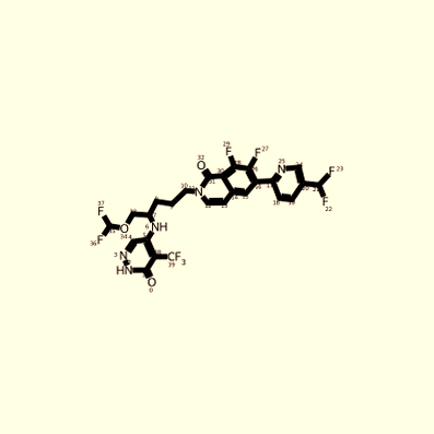 O=c1[nH]ncc(NC(CCCn2ccc3cc(-c4ccc(C(F)F)cn4)c(F)c(F)c3c2=O)COC(F)F)c1C(F)(F)F